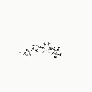 Cc1ccc(-c2ccc(-c3ccc(OC(F)(F)C(F)F)cc3)s2)s1